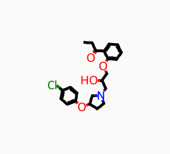 CCC(=O)c1ccccc1OCC(O)CN1CCC(Oc2ccc(Cl)cc2)C1